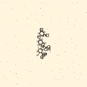 Cc1ccc(-n2c(C(=O)O)cc3cc(Oc4cc(Cl)cc(Cl)c4)ccc32)cc1[N+](=O)[O-]